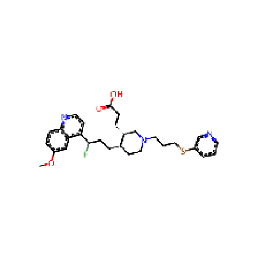 COc1ccc2nccc([C@H](F)CC[C@@H]3CCN(CCCSc4cccnc4)C[C@H]3CCC(=O)O)c2c1